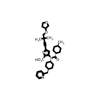 CC(C)(C#Cc1cc(N(C(=O)[C@H]2CC[C@H](C)CC2)[C@H]2CC[C@H](Cc3ccccn3)CC2)c(C(=O)O)s1)COC1CCOC1